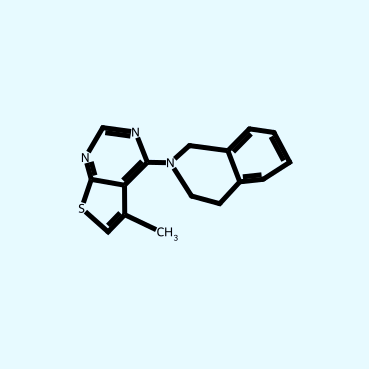 Cc1csc2ncnc(N3CCc4ccccc4C3)c12